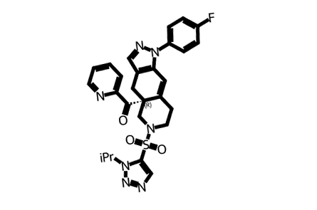 CC(C)n1nncc1S(=O)(=O)N1CCC2=Cc3c(cnn3-c3ccc(F)cc3)C[C@]2(C(=O)c2ccccn2)C1